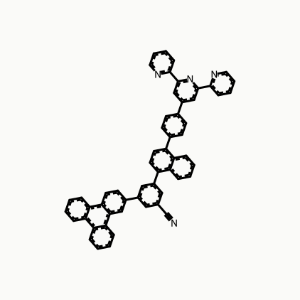 N#Cc1cc(-c2ccc3c4ccccc4c4ccccc4c3c2)cc(-c2ccc(-c3ccc(-c4cc(-c5ccccn5)nc(-c5ccccn5)c4)cc3)c3ccccc23)c1